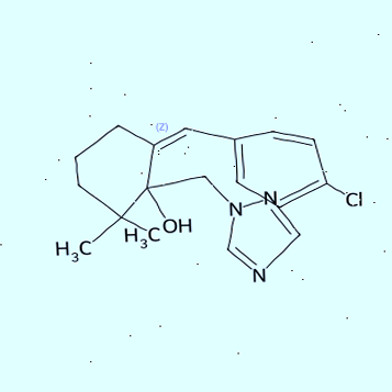 CC1(C)CCC/C(=C/c2ccc(Cl)cc2)C1(O)Cn1cncn1